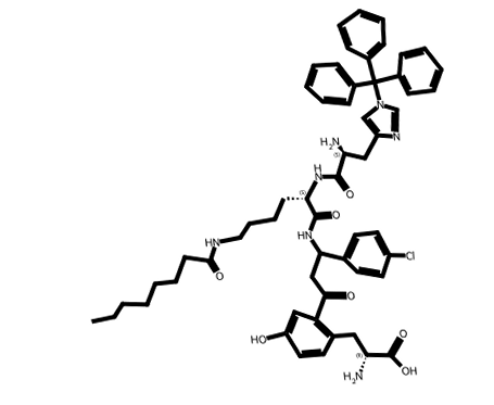 CCCCCCCC(=O)NCCCC[C@H](NC(=O)[C@@H](N)Cc1cn(C(c2ccccc2)(c2ccccc2)c2ccccc2)cn1)C(=O)NC(CC(=O)c1cc(O)ccc1C[C@@H](N)C(=O)O)c1ccc(Cl)cc1